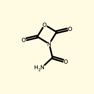 NC(=O)N1C(=O)OC1=O